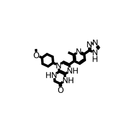 COC1CCC(N2C=C(c3ccc(-c4nnc[nH]4)nc3C)NC3=C2NCC(=O)N3)CC1